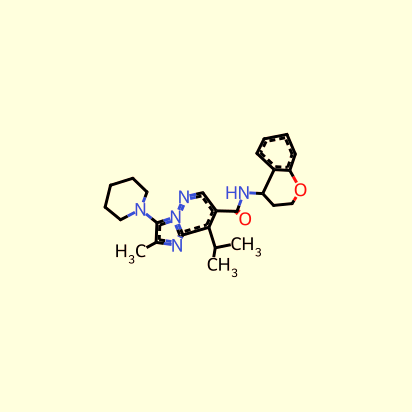 Cc1nc2c(C(C)C)c(C(=O)NC3CCOc4ccccc43)cnn2c1N1CCCCC1